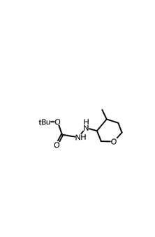 CC1CCOCC1NNC(=O)OC(C)(C)C